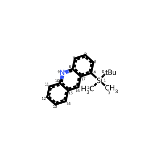 CC(C)(C)[Si](C)(C)c1cccc2nc3ccccc3cc12